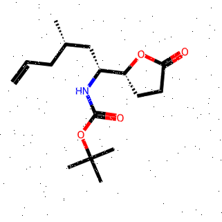 C=CC[C@H](C)C[C@@H](NC(=O)OC(C)(C)C)[C@H]1CCC(=O)O1